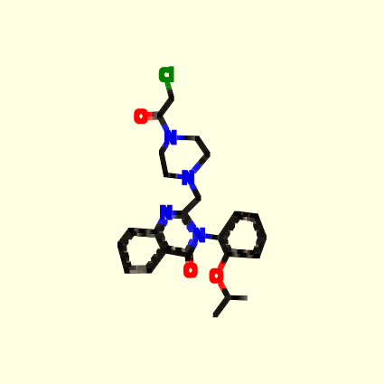 CC(C)Oc1ccccc1-n1c(CN2CCN(C(=O)CCl)CC2)nc2ccccc2c1=O